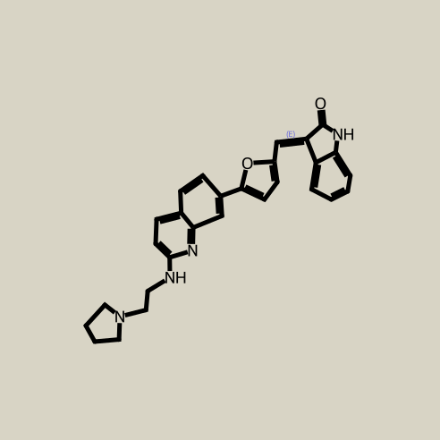 O=C1Nc2ccccc2/C1=C\c1ccc(-c2ccc3ccc(NCCN4CCCC4)nc3c2)o1